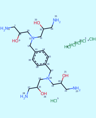 Cl.Cl.Cl.Cl.Cl.Cl.NCC(O)CN(Cc1ccc(CN(CC(O)CN)CC(O)CN)cc1)CC(O)CN